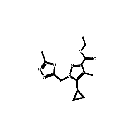 CCOC(=O)c1nn(Cc2nnc(C)o2)c(C2CC2)c1C